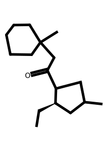 CC[C@@H]1CC(C)CC1C(=O)CC1(C)CCCCC1